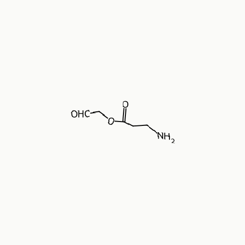 NCCC(=O)OCC=O